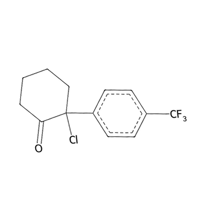 O=C1CCCCC1(Cl)c1ccc(C(F)(F)F)cc1